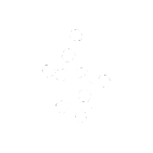 CC1(C)c2cc(N(c3ccccc3)c3cccc(-c4ccc5ccccc5c4-c4ccc(-c5ccccc5)cc4)c3)ccc2-c2c(-c3ccccc3)cccc21